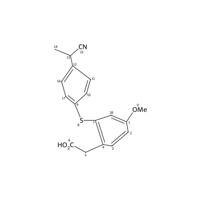 COc1ccc(CC(=O)O)c(Sc2ccc(C(C)C#N)cc2)c1